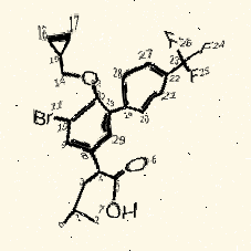 CC(C)CC(C(=O)O)c1cc(Br)c(OCC2CC2)c(-c2ccc(C(F)(F)F)cc2)c1